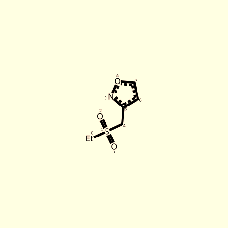 CCS(=O)(=O)Cc1ccon1